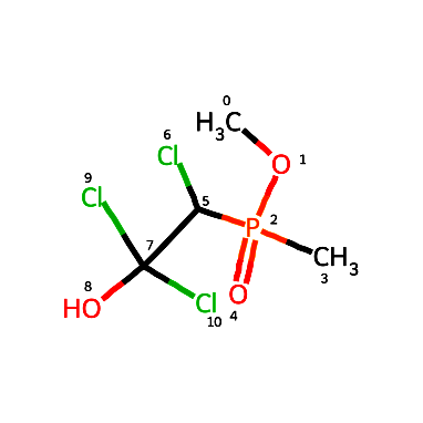 COP(C)(=O)C(Cl)C(O)(Cl)Cl